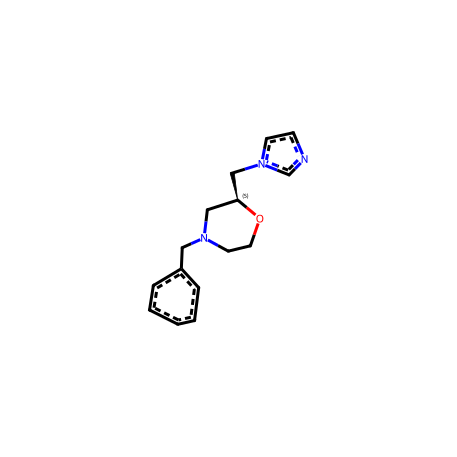 c1ccc(CN2CCO[C@H](Cn3ccnc3)C2)cc1